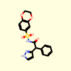 O=C(NS(=O)(=O)c1ccc2c(c1)OCCO2)C(c1ccccc1)c1cc[nH]n1